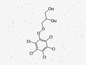 OCC(O)COOc1c(Cl)c(Cl)c(Cl)c(Cl)c1Cl